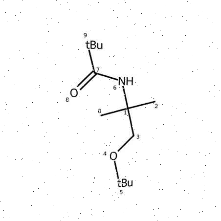 CC(C)(COC(C)(C)C)NC(=O)C(C)(C)C